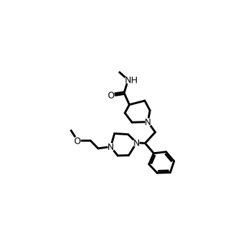 CNC(=O)C1CCN(CC(c2ccccc2)N2CCN(CCOC)CC2)CC1